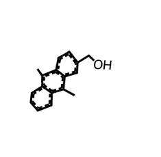 Cc1c2ccccc2c(C)c2cc(CO)ccc12